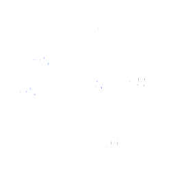 CC1=CNNC(Cl)N1C